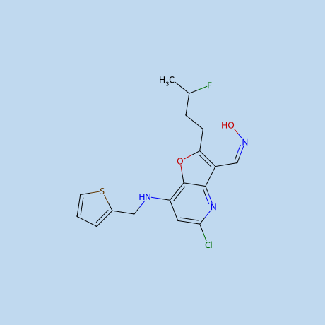 CC(F)CCc1oc2c(NCc3cccs3)cc(Cl)nc2c1/C=N\O